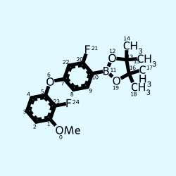 COc1cccc(Oc2ccc(B3OC(C)(C)C(C)(C)O3)c(F)c2)c1F